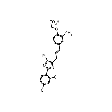 Cc1cc(C=CCc2nc(-c3ccc(Cl)cc3Cl)oc2C(C)C)ccc1OCC(=O)O